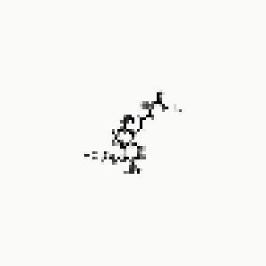 C=C(N)NCCC[C@@H](C(=O)C(C)C)N1CCN(C(C)C)[C@@H](CC(=O)O)C1=O